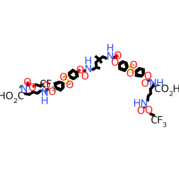 CC(CNC(=O)Oc1ccc(S(=O)(=O)c2ccc(OC(=O)NCCCCC(C(=O)O)N(C)C(=O)OCCC(F)(F)F)cc2)cc1)CC(C)(C)CCNC(=O)Oc1ccc(S(=O)(=O)c2ccc(OC(=O)NC(CCCCNC(=O)OCCC(F)(F)F)C(=O)O)cc2)cc1